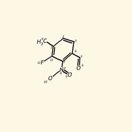 Cc1ccc(C=O)c([N+](=O)[O-])c1F